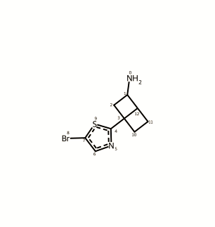 NC1CC2(c3ncc(Br)s3)CCC12